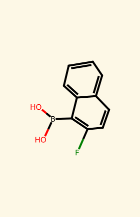 OB(O)c1c(F)ccc2ccccc12